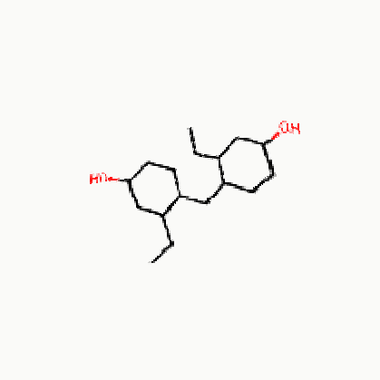 CCC1CC(O)CCC1CC1CCC(O)CC1CC